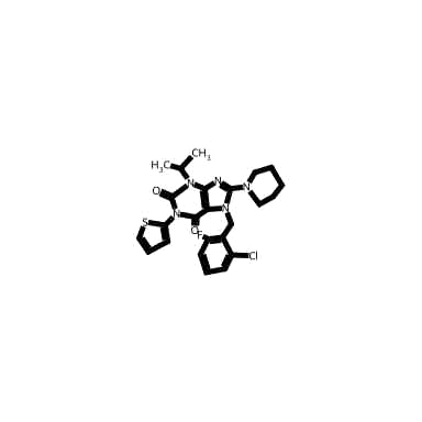 CC(C)n1c(=O)n(-c2cccs2)c(=O)c2c1nc(N1CCCCC1)n2Cc1c(F)cccc1Cl